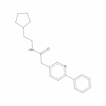 O=C(Cc1ccc(-c2ccccc2)nc1)NCCC1CCCC1